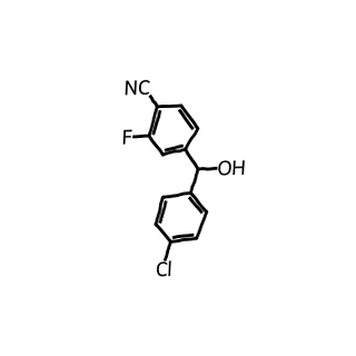 N#Cc1ccc(C(O)c2ccc(Cl)cc2)cc1F